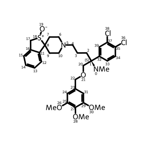 CN[C@](CCCN1CCC2(CC1)c1ccccc1C[S+]2[O-])(COCc1cc(OC)c(OC)c(OC)c1)c1ccc(Cl)c(Cl)c1